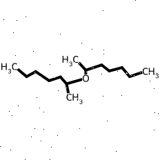 CCCCCC(C)OC(C)CCCCC